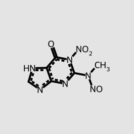 CN(N=O)c1nc2nc[nH]c2c(=O)n1[N+](=O)[O-]